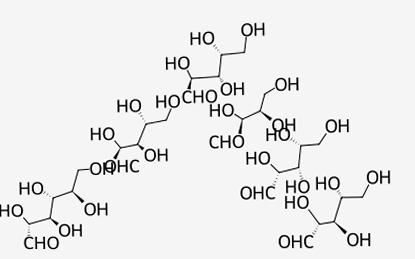 O=C[C@@H](O)[C@@H](O)[C@H](O)CO.O=C[C@@H](O)[C@H](O)CO.O=C[C@@H](O)[C@H](O)[C@H](O)CO.O=C[C@H](O)[C@@H](O)[C@H](O)CO.O=C[C@H](O)[C@H](O)[C@H](O)CO.O=C[C@H](O)[C@H](O)[C@H](O)[C@H](O)CO